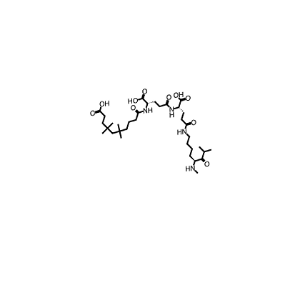 CN[C@@H](CCCCNC(=O)CC[C@H](NC(=O)CC[C@H](NC(=O)CCCC(C)(C)CC(C)(C)CCC(=O)O)C(=O)O)C(=O)O)C(=O)C(C)C